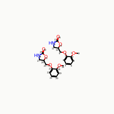 COc1ccccc1OCC1CNC(=O)O1.COc1ccccc1OCC1CNC(=O)O1